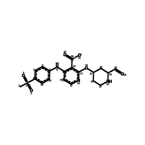 CS(=O)(=O)c1ccc(Nc2ncnc(OC3CCNC(C=O)C3)c2[N+](=O)[O-])cc1